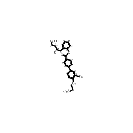 CCCCCCCCCCCCOc1ccc(-c2ccc(C(=O)Oc3ccccc3C[C@@H](C)CCC(=O)O)cc2)cc1F